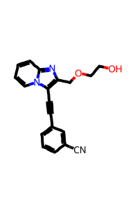 N#Cc1cccc(C#Cc2c(COCCO)nc3ccccn23)c1